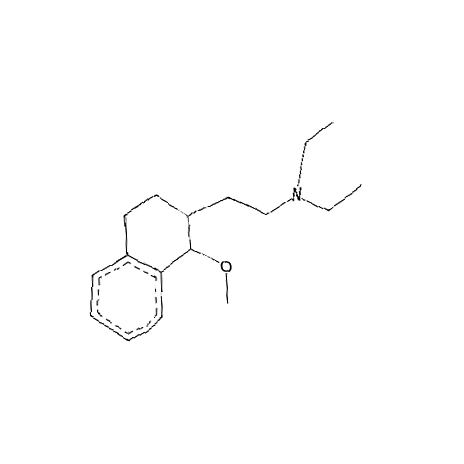 CCN(CC)CCC1CCc2ccccc2C1OC